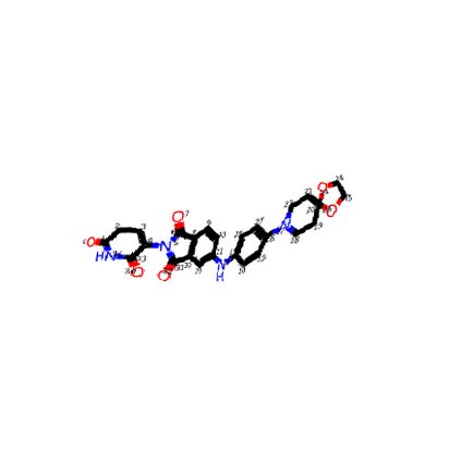 O=C1CCC(N2C(=O)c3ccc(Nc4ccc(N5CCC6(CC5)OCCO6)cc4)cc3C2=O)C(=O)N1